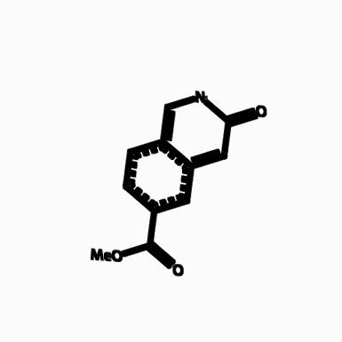 COC(=O)c1ccc2c(c1)=CC(=O)[N]C=2